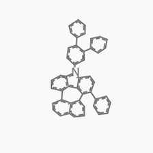 c1ccc(-c2ccc(-n3c4cccc5c4c4c(c(-c6ccccc6)ccc43)-c3cccc4cccc-5c34)cc2-c2ccccc2)cc1